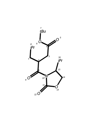 CC(C)CC(CC(=O)OC(C)(C)C)C(=O)N1C(=O)OCC1C(C)C